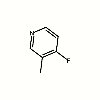 Cc1cnc[c]c1F